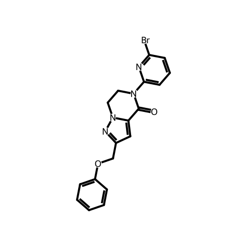 O=C1c2cc(COc3ccccc3)nn2CCN1c1cccc(Br)n1